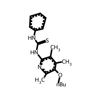 CCCCOc1c(C)nc(NC(=S)Nc2ccccc2)c(C)c1C